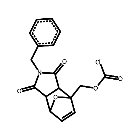 O=C(Cl)OCC12C=CC(O1)C1C(=O)N(Cc3ccccc3)C(=O)C12